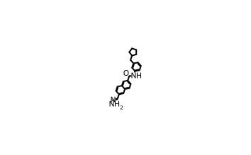 NN=Cc1ccc2cc(C(=O)Nc3cccc(CC4CCCC4)c3)ccc2c1